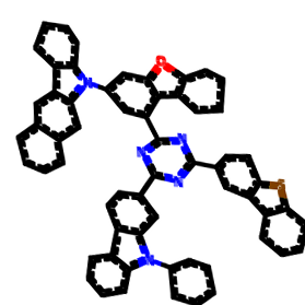 c1ccc(-n2c3ccccc3c3ccc(-c4nc(-c5ccc6sc7ccccc7c6c5)nc(-c5cc(-n6c7ccccc7c7cc8ccccc8cc76)cc6oc7ccccc7c56)n4)cc32)cc1